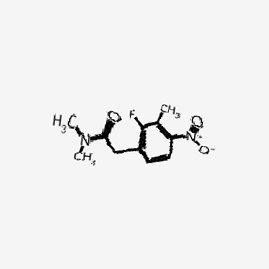 Cc1c([N+](=O)[O-])ccc(CC(=O)N(C)C)c1F